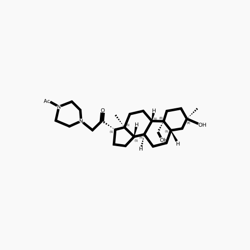 CC(=O)N1CCN(CC(=O)[C@H]2CC[C@H]3[C@@H]4CC[C@H]5C[C@](C)(O)CC[C@]5(CO)[C@H]4CC[C@]23C)CC1